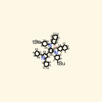 CC(C)(C)c1ccc(N2c3cc4ccccc4cc3B3c4cc5ccccc5cc4N(c4ccc(C(C)(C)C)cc4)c4cc(-c5cc(-c6ccccc6)nc(-c6ccccc6)c5)cc2c43)cc1